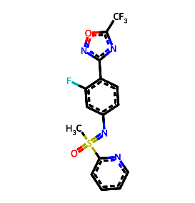 CS(=O)(=Nc1ccc(-c2noc(C(F)(F)F)n2)c(F)c1)c1ccccn1